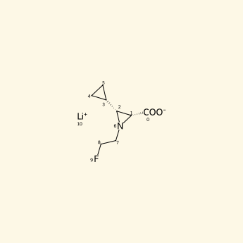 O=C([O-])[C@H]1[C@@H](C2CC2)N1CCF.[Li+]